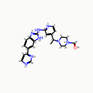 CC(c1ccnc(Nc2nc3ccc(-c4ccncn4)cc3[nH]2)c1)N1CCN(C=O)CC1